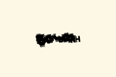 c1cc(N2CCN(CCCOc3ccc4c(c3)CNCC4)CC2)c2ccsc2c1